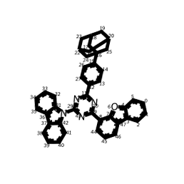 c1ccc2c(c1)oc1c(-c3nc(-c4ccc(C56CC7CC(CC(C7)C5)C6)cc4)nc(-n4c5ccccc5c5ccccc54)n3)cccc12